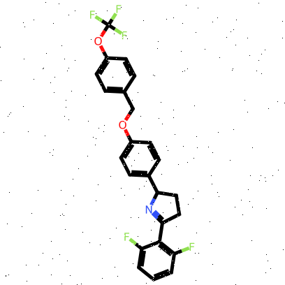 Fc1cccc(F)c1C1=NC(c2ccc(OCc3ccc(OC(F)(F)F)cc3)cc2)CC1